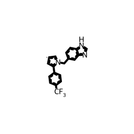 FC(F)(F)c1ccc(-c2c[c]cn2Cc2ccc3[nH]cnc3c2)cc1